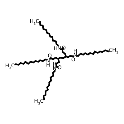 CCCCCCCCCCCCCCNC(=O)CCC(CCC(=O)NCCCCCCCCCCCCCC)CCC(CCC(=O)NCCCCCCCCCCCCCC)CCC(=O)NCCCCCCCCCCCCCC